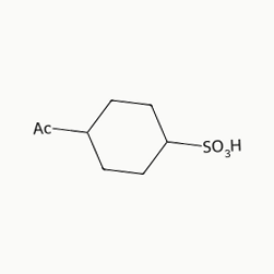 CC(=O)C1CCC(S(=O)(=O)O)CC1